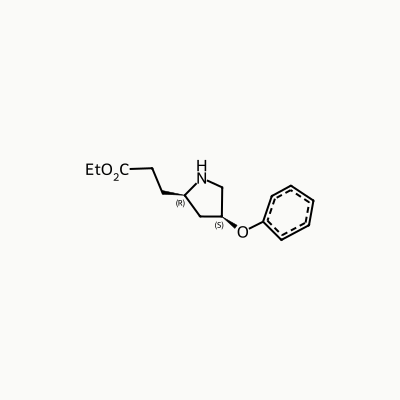 CCOC(=O)CC[C@@H]1C[C@H](Oc2ccccc2)CN1